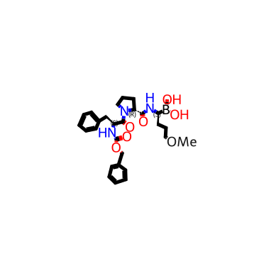 COCCC[C@@H](NC(=O)[C@H]1CCCN1C(=O)[C@H](Cc1ccccc1)NC(=O)OCc1ccccc1)B(O)O